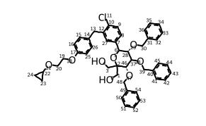 OCC1(CO)OC(c2ccc(Cl)c(Cc3ccc(OCCOC4CC4)cc3)c2)[C@H](OCc2ccccc2)C(OCc2ccccc2)[C@@H]1OCc1ccccc1